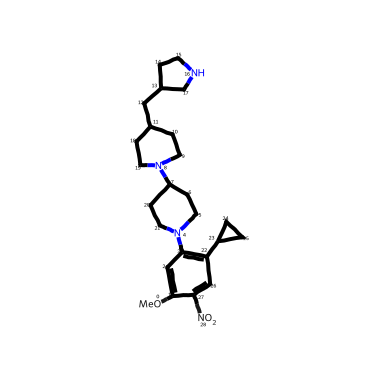 COc1cc(N2CCC(N3CCC(CC4CCNC4)CC3)CC2)c(C2CC2)cc1[N+](=O)[O-]